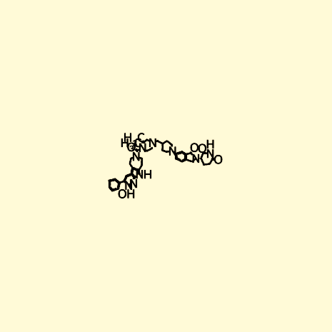 CC1(C)CN(CC2CCN(c3ccc4c(c3)C(=O)N([C@H]3CCC(=O)NC3=O)C4)CC2)CCN1C(=O)N1CCc2[nH]c3nnc(-c4ccccc4O)cc3c2CC1